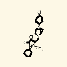 Cn1c(CN2CC3CC2CN3c2ccc(Cl)cc2)c(Cl)c(=O)n1-c1ccccc1